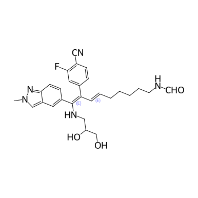 Cn1cc2cc(/C(NCC(O)CO)=C(/C=C/CCCCCNC=O)c3ccc(C#N)c(F)c3)ccc2n1